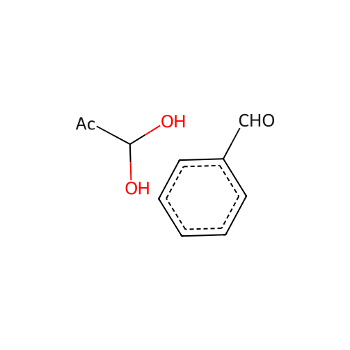 CC(=O)C(O)O.O=Cc1ccccc1